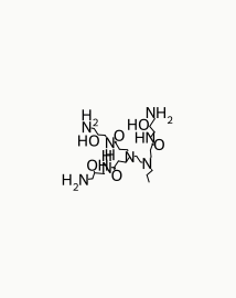 CCCN(CCC(=O)NCC(O)CN)CCN(CCC(=O)NCC(O)CN)CCC(=O)NCC(O)CN